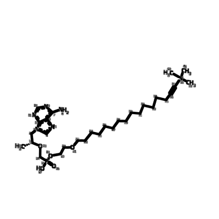 C[C@H](Cn1cnc2c(N)ncnc21)OCP(=O)(O)OCCOCCCCCCCCCCCCCCC#C[Si](C)(C)C